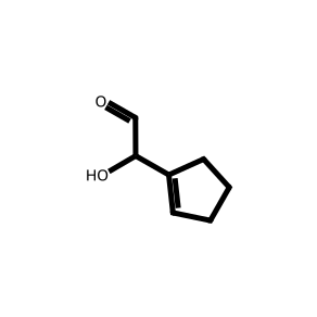 O=CC(O)C1=CCCC1